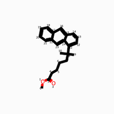 COC(=O)CCCCC(C)(C)c1cccc2cc3ccccc3cc12